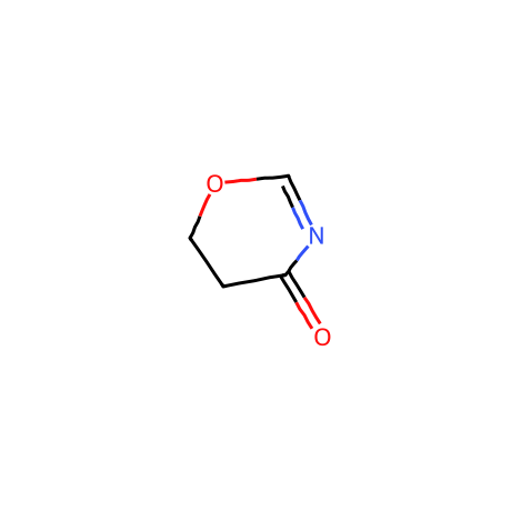 O=C1CCOC=N1